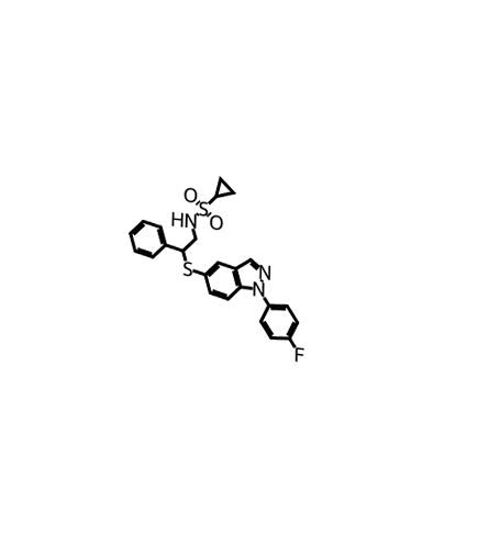 O=S(=O)(NCC(Sc1ccc2c(cnn2-c2ccc(F)cc2)c1)c1ccccc1)C1CC1